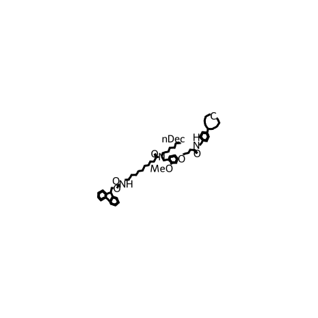 CCCCCCCCCCCCCCCCN(Cc1ccc(OCCCC(=O)NCc2ccc(C3CCCCCCCCC3)cc2)cc1OC)C(=O)CCCCCCCCCCNC(=O)OCC1c2ccccc2-c2ccccc21